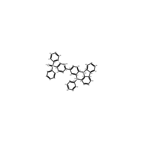 O=P(c1ccccc1)(c1ccccc1)c1ccc(-c2ccc3c(c2)N(c2ccccc2)c2cccc4c5ccccc5n-3c24)nc1